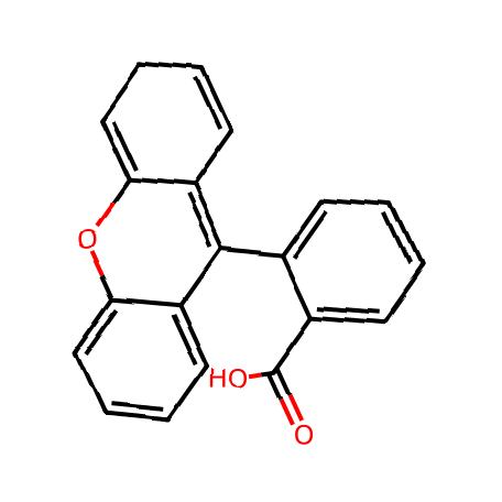 O=C(O)c1ccccc1C1=C2C=CCC=C2Oc2ccccc21